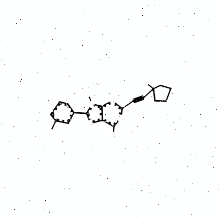 CCCn1c(-c2cccc(F)c2)nc2c(N)nc(C#CC3(O)CCCC3)nc21.Cl